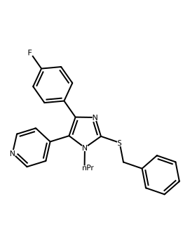 CCCn1c(SCc2ccccc2)nc(-c2ccc(F)cc2)c1-c1ccncc1